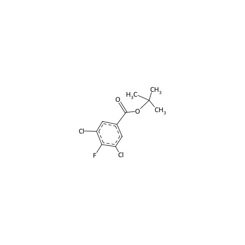 CC(C)(C)OC(=O)c1cc(Cl)c(F)c(Cl)c1